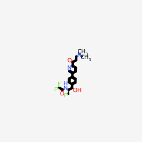 CN(C)CCC(=O)c1ccc(-c2ccc([C@@H](O)[C@@H](CF)NC(=O)C(F)F)cc2)cn1